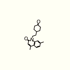 Cc1ccc2c(C)cc(=O)n(CCC3CCC(=O)CC3)c2c1